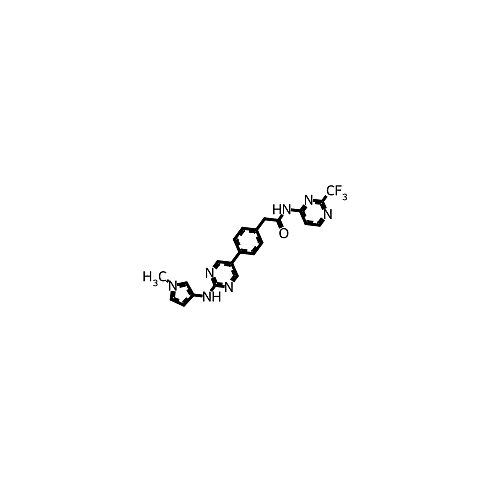 Cn1ccc(Nc2ncc(-c3ccc(CC(=O)Nc4ccnc(C(F)(F)F)n4)cc3)cn2)c1